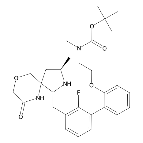 C[C@@H]1CC2(COCC(=O)N2)C(Cc2cccc(-c3ccccc3OCCN(C)C(=O)OC(C)(C)C)c2F)N1